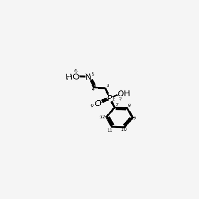 O=P(O)(CC=NO)c1ccccc1